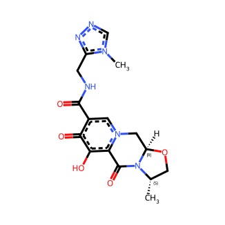 C[C@H]1CO[C@@H]2Cn3cc(C(=O)NCc4nncn4C)c(=O)c(O)c3C(=O)N12